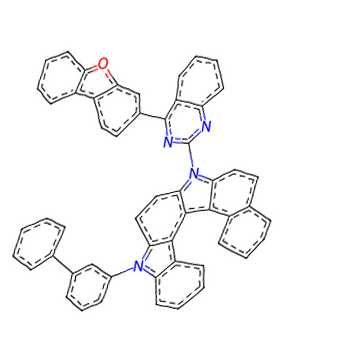 c1ccc(-c2cccc(-n3c4ccccc4c4c5c6c7ccccc7ccc6n(-c6nc(-c7ccc8c(c7)oc7ccccc78)c7ccccc7n6)c5ccc43)c2)cc1